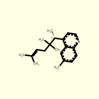 CC(C)=CCC(C)(C)[C@H](C)c1ccnc2ccc(C)cc12